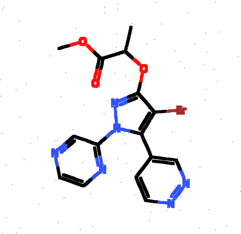 COC(=O)C(C)Oc1nn(-c2cnccn2)c(-c2ccnnc2)c1Br